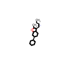 CC/C=C\c1c(C)oc2cc(-c3ccccc3)ccc12